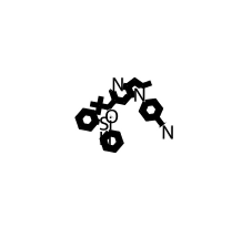 Cc1cc2ncc(C(O[SiH](c3ccccc3)c3ccccc3)C(C)(C)C)cc2n1-c1ccc(C#N)cc1